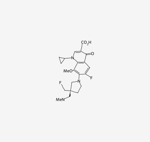 CNC[C@]1(CF)CCN(c2c(F)cc3c(=O)c(C(=O)O)cn(C4CC4)c3c2OC)C1